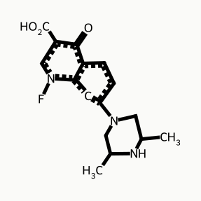 CC1CN(c2ccc3c(=O)c(C(=O)O)cn(F)c3c2)CC(C)N1